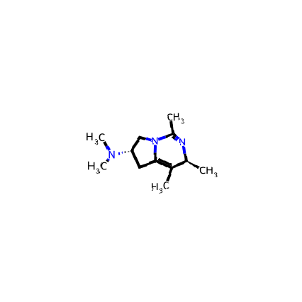 CC1=N[C@@H](C)C(C)=C2C[C@H](N(C)C)CN12